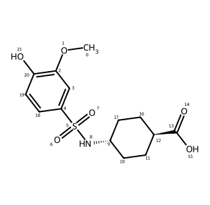 COc1cc(S(=O)(=O)N[C@H]2CC[C@H](C(=O)O)CC2)ccc1O